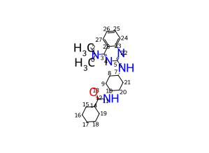 CN(C)c1nc(N[C@H]2CC[C@@H](NC(=O)C3CCCCC3)CC2)nc2ccccc12